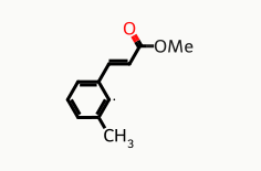 COC(=O)C=Cc1[c]c(C)ccc1